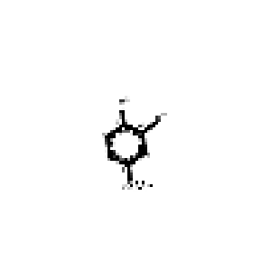 CSc1ccc(F)c(F)c1